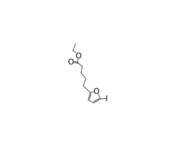 CCOC(=O)CCCCc1ccc(I)o1